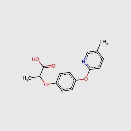 Cc1ccc(Oc2ccc(OC(C)C(=O)O)cc2)nc1